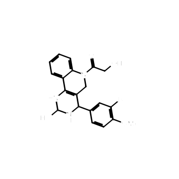 COc1ccc(C2NC(O)NC3=C2CN(C(=O)CO)c2ccccc23)cc1Br